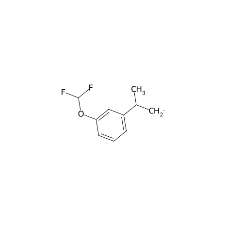 [CH2]C(C)c1cccc(OC(F)F)c1